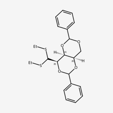 CCSC(SCC)[C@@H]1OC(c2ccccc2)O[C@@H]2COC(c3ccccc3)O[C@@H]21